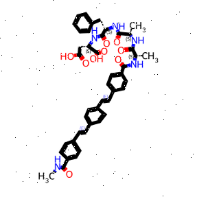 CNC(=O)c1ccc(/C=C/c2ccc(/C=C/c3ccc(C(=O)N[C@@H](C)C(=O)N[C@@H](C)C(=O)N[C@@H](Cc4ccccc4)C(=O)N[C@@H](CC(=O)O)C(=O)O)cc3)cc2)cc1